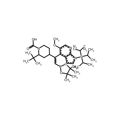 COc1cnc2c(ccn2[Si](C(C)C)(C(C)C)C(C)C)c1/C(=C\B1OC(C)(C)C(C)(C)O1)C1CCN(C(=O)O)C(C(C)(C)C)C1